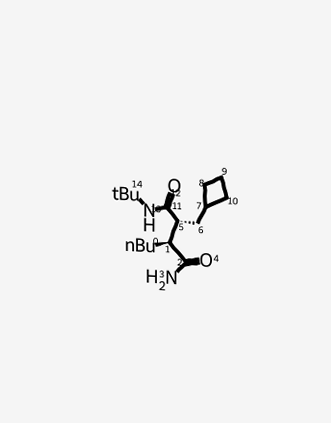 CCCC[C@H](C(N)=O)[C@@H](CC1CCC1)C(=O)NC(C)(C)C